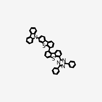 c1ccc(-c2nc(-c3ccccc3)nc(-c3cccc4c3sc3cccc(-c5cccc6c5sc5cc(-n7c8ccccc8c8ccccc87)ccc56)c34)n2)cc1